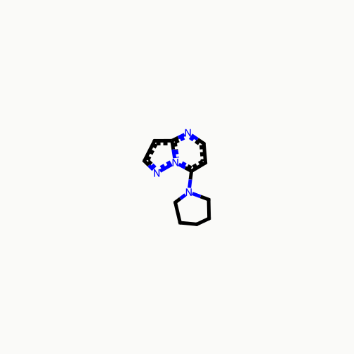 c1cc(N2CCCCC2)n2nccc2n1